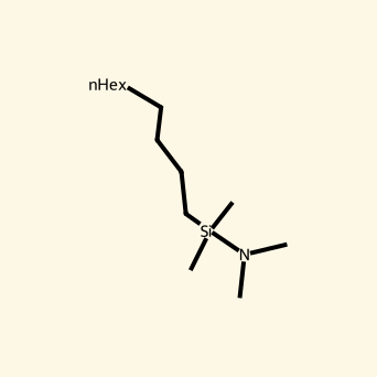 CCCCCCCCCC[Si](C)(C)N(C)C